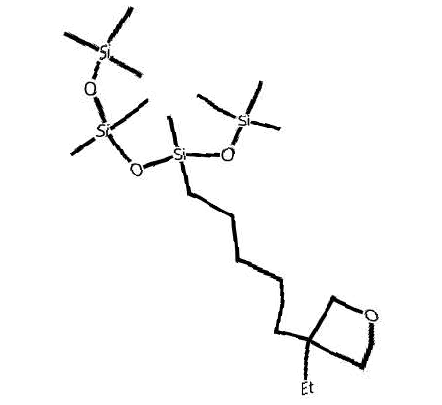 CCC1(CCCCC[Si](C)(O[Si](C)(C)C)O[Si](C)(C)O[Si](C)(C)C)COC1